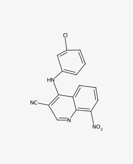 N#Cc1cnc2c([N+](=O)[O-])cccc2c1Nc1cccc(Cl)c1